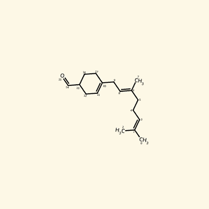 CC(C)=CCC/C(C)=C/CC1=CCC(C=O)CC1